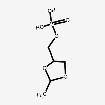 CC1OCC(COP(=O)(O)O)O1